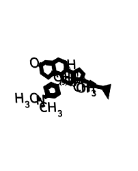 CN(C)c1ccc([C@H]2C[C@@]3(C)[C@@H](CC[C@@]3(O)C#CC3CC3)[C@@H]3CCC4=CC(=O)CC[C@]4(C)C23)cc1